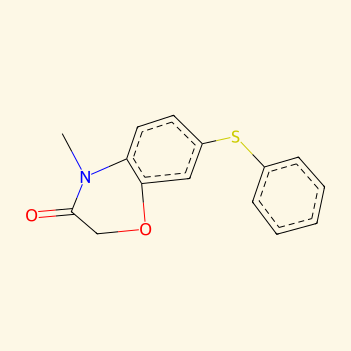 CN1C(=O)COc2cc(Sc3ccccc3)ccc21